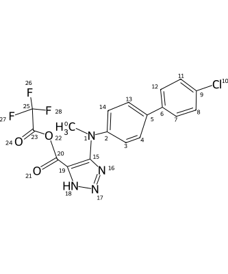 CN(c1ccc(-c2ccc(Cl)cc2)cc1)c1nn[nH]c1C(=O)OC(=O)C(F)(F)F